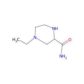 CCN1CCNC(C(N)=O)C1